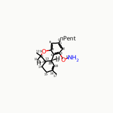 CCCCCc1cc(ON)c2c(c1)OC(C)(C)[C@@H]1CCC(C)=C[C@@H]21